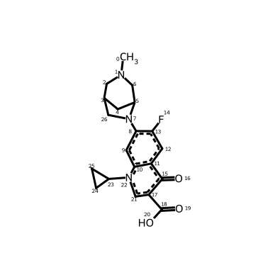 CN1CC2CC(C1)N(c1cc3c(cc1F)c(=O)c(C(=O)O)cn3C1CC1)C2